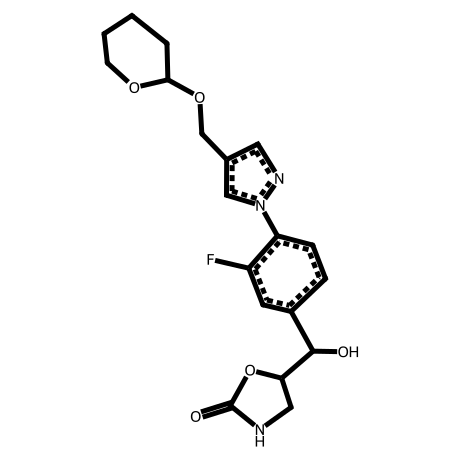 O=C1NCC(C(O)c2ccc(-n3cc(COC4CCCCO4)cn3)c(F)c2)O1